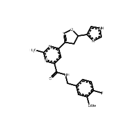 COc1cc(CNC(=O)c2cc(C3=NOC(c4c[nH]cn4)C3)nc(C)n2)ccc1F